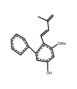 C=C(C)C=Cc1c(OC)cc(O)cc1-c1ccccc1